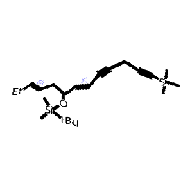 CC/C=C/CC(/C=C/C#CCC#C[Si](C)(C)C)O[Si](C)(C)C(C)(C)C